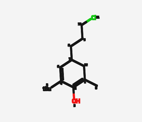 CC1=C(O)C(C(C)(C)C)=CC(CCCCl)C1